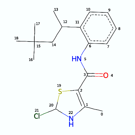 CC1=C(C(=O)Nc2ccccc2C(C)CC(C)(C)C)SC(Cl)N1